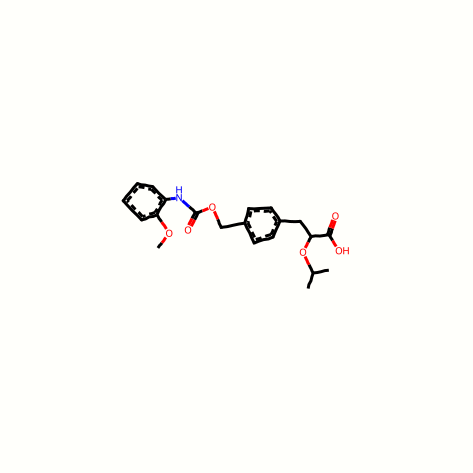 COc1ccccc1NC(=O)OCc1ccc(CC(OC(C)C)C(=O)O)cc1